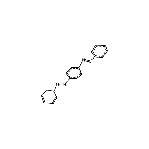 C1=CCC(N=Nc2ccc(N=Nc3ccccc3)cc2)C=C1